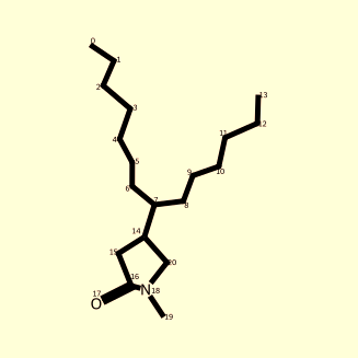 CCCCCCCC(CCCCCC)C1CC(=O)N(C)C1